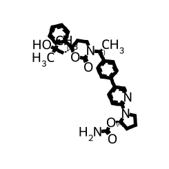 C[C@@H](c1ccc(-c2ccc(N3CCC[C@H]3OC(N)=O)nc2)cc1)N1CC[C@](CC(C)(C)O)(c2ccccc2)OC1=O